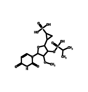 COC1C(OP(=O)(O)C(C)C)C(C2CC2P(=O)(O)O)OC1n1ccc(=O)[nH]c1=O